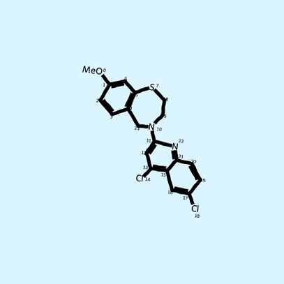 COc1ccc2c(c1)SCCN(c1cc(Cl)c3cc(Cl)ccc3n1)C2